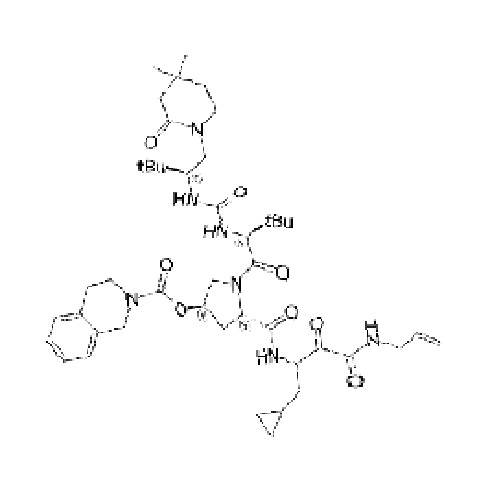 C=CCNC(=O)C(=O)C(CC1CC1)NC(=O)[C@@H]1C[C@@H](OC(=O)N2CCc3ccccc3C2)CN1C(=O)[C@@H](NC(=O)N[C@H](CN1CCC(C)(C)CC1=O)C(C)(C)C)C(C)(C)C